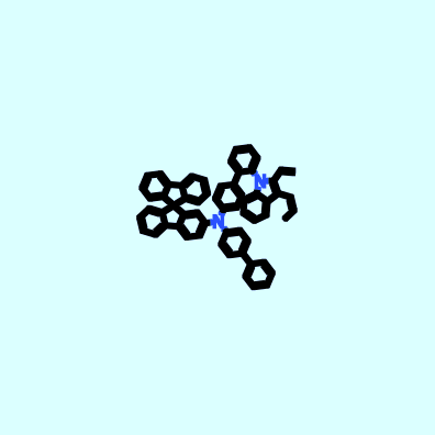 C=Cc1c(/C=C\C)c2ccccc2n1-c1ccccc1-c1ccc(N(c2ccc(-c3ccccc3)cc2)c2ccc3c(c2)C2(c4ccccc4-c4ccccc42)c2ccccc2-3)cc1